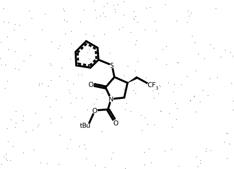 CC(C)(C)OC(=O)N1C[C@H](CC(F)(F)F)C(Sc2ccccc2)C1=O